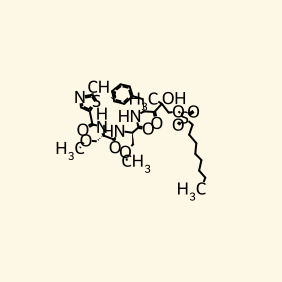 CCCCCCCCS(=O)(=O)OCC(C)(O)C(=O)[C@H](Cc1ccccc1)NC(=O)[C@@H](COC)NC(=O)[C@H](COC)NC(=O)c1cnc(C)s1